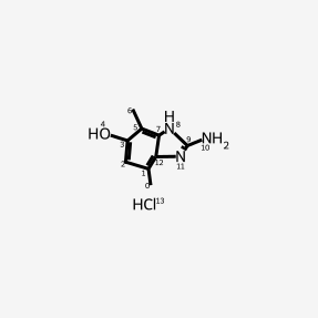 Cc1cc(O)c(C)c2[nH]c(N)nc12.Cl